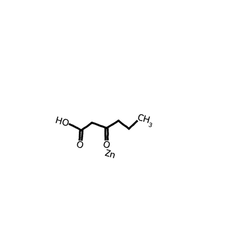 CCCC(=O)CC(=O)O.[Zn]